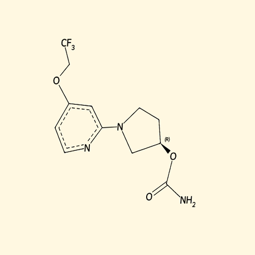 NC(=O)O[C@@H]1CCN(c2cc(OCC(F)(F)F)ccn2)C1